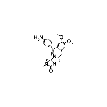 COc1cc2c(cc1OC)C(c1ccc(N)cc1)=NN(c1nc(=O)n(C)s1)C(C)C2